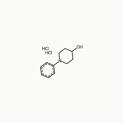 Cl.Cl.OC1CCN(c2ccccc2)CC1